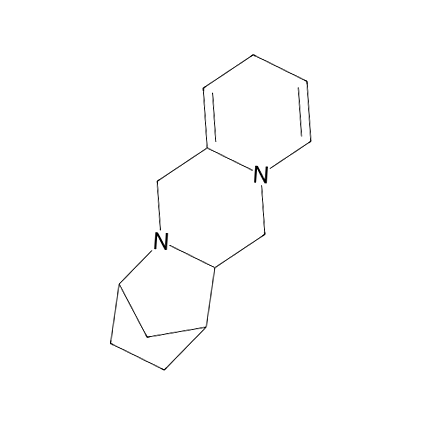 C1=CN2CC3C4CCC(C4)N3CC2=CC1